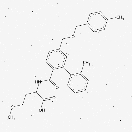 CSCCC(NC(=O)c1ccc(COCc2ccc(C)cc2)cc1-c1ccccc1C)C(=O)O